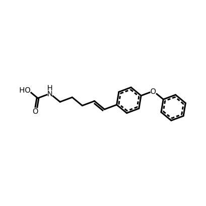 O=C(O)NCCCC=Cc1ccc(Oc2ccccc2)cc1